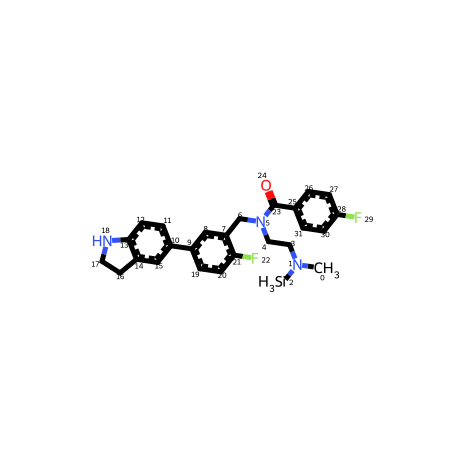 CN([SiH3])CCN(Cc1cc(-c2ccc3c(c2)CCN3)ccc1F)C(=O)c1ccc(F)cc1